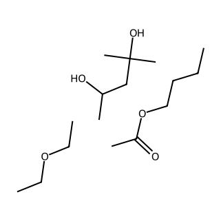 CC(O)CC(C)(C)O.CCCCOC(C)=O.CCOCC